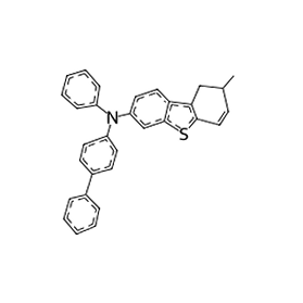 CC1C=Cc2sc3cc(N(c4ccccc4)c4ccc(-c5ccccc5)cc4)ccc3c2C1